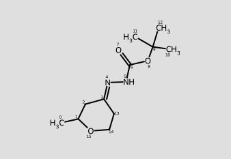 CC1CC(=NNC(=O)OC(C)(C)C)CCO1